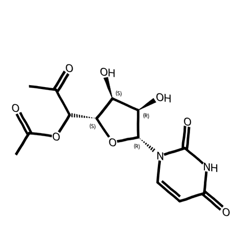 CC(=O)OC(C(C)=O)[C@H]1O[C@@H](n2ccc(=O)[nH]c2=O)[C@H](O)[C@@H]1O